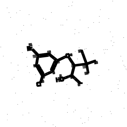 [CH2]C(O)C(Oc1cc(Cl)cc(Br)c1)C(C)(C)C